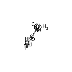 Nc1nc(Cl)nc2c1ncn2CCCCOC(=O)NCc1cccc(C(F)(F)F)c1Cl